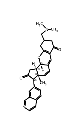 CN(C)CC1CC(=O)C2=C(C1)O[C@@H]1C(=C2)C=C[C@]2(C)[C@@H](c3ccc4ccncc4c3)C(=O)C[C@@H]12